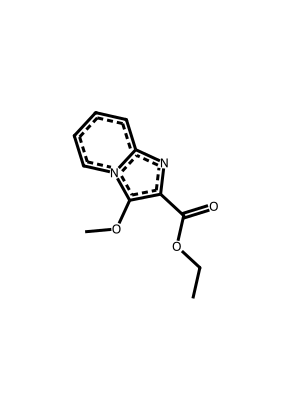 CCOC(=O)c1nc2ccccn2c1OC